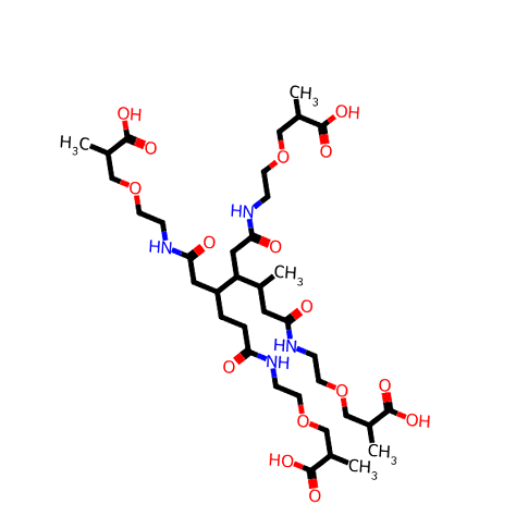 CC(COCCNC(=O)CCC(CC(=O)NCCOCC(C)C(=O)O)C(CC(=O)NCCOCC(C)C(=O)O)C(C)CC(=O)NCCOCC(C)C(=O)O)C(=O)O